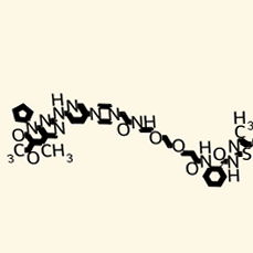 CC(=O)c1c(C)c2cnc(Nc3ccc(N4CCN(CC(=O)NCCOCCOCCC(=O)NC5CCCC[C@H]5C(=O)Nc5nc(C)c(C)s5)CC4)cn3)nc2n(C2CCCC2)c1=O